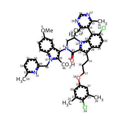 COc1ccc2c(c1)c(N1C[C@@H](C)n3c(c(CCCOc4cc(C)c(Cl)c(C)c4)c4ccc(Cl)c(-c5c(C)ncnc5C)c43)C1=O)c(C(=O)O)n2Cc1cccc(C)n1